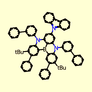 CC(C)(C)c1cc2c(cc1-c1ccccc1)B1c3cc(-c4ccccc4)c(C(C)(C)C)cc3N(c3cccc(-c4ccccc4)c3)c3cc(-n4c5ccccc5c5ccccc54)cc(c31)N2c1cccc(-c2ccccc2)c1